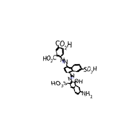 Nc1ccc2cc(S(=O)(=O)O)c(/N=N/c3ccc(/N=N/c4ccc(C(=O)O)cc4C(=O)O)c4ccc(S(=O)(=O)O)cc34)c(O)c2c1